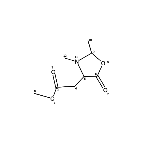 COC(=O)CC1C(=O)OC(C)N1C